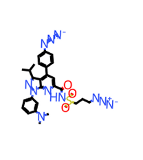 CC(C)c1nn(-c2cccc(N(C)C)c2)c2nc(C(=O)NS(=O)(=O)CCCN=[N+]=[N-])cc(-c3ccc(N=[N+]=[N-])cc3)c12